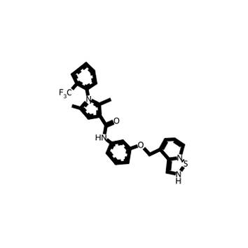 Cc1cc(C(=O)Nc2cccc(OCC3=CC=CN4SNC=C34)c2)c(C)n1-c1ccccc1C(F)(F)F